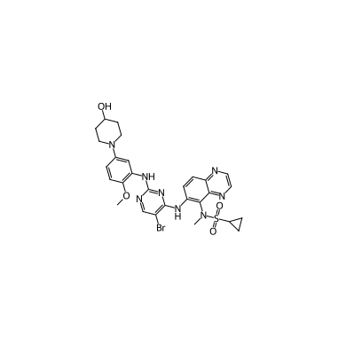 COc1ccc(N2CCC(O)CC2)cc1Nc1ncc(Br)c(Nc2ccc3nccnc3c2N(C)S(=O)(=O)C2CC2)n1